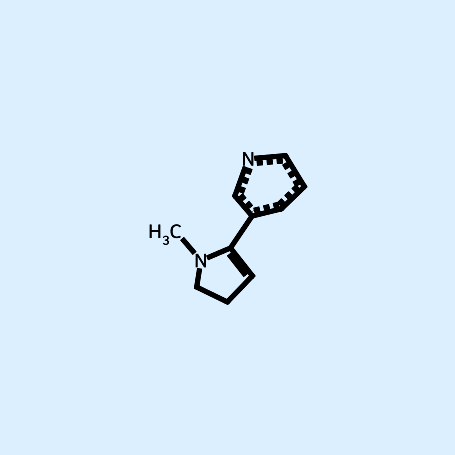 CN1CCC=C1c1cccnc1